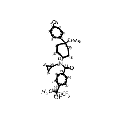 CO[C@]1(c2ccc(C#N)cc2)CC[C@@H](N(C(=O)c2ccc([C@](C)(O)C(F)(F)F)cc2)C2CC2)CC1